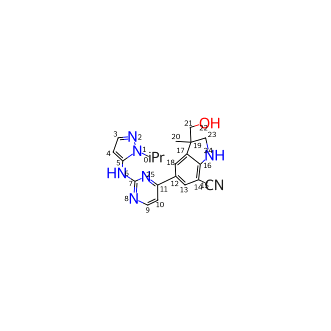 CC(C)n1nccc1Nc1nccc(-c2cc(C#N)c3c(c2)C(C)(CO)CN3)n1